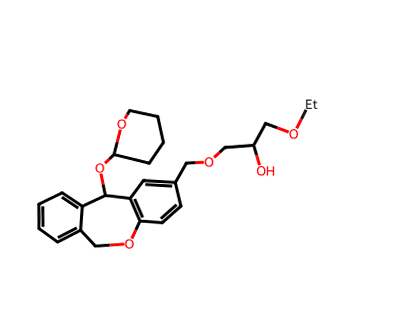 CCOCC(O)COCc1ccc2c(c1)C(OC1CCCCO1)c1ccccc1CO2